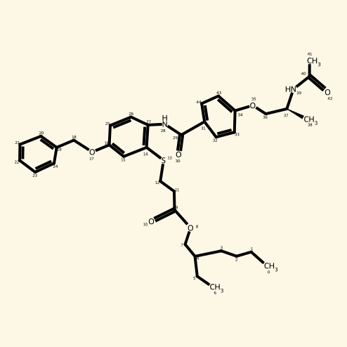 CCCCC(CC)COC(=O)CCSc1cc(OCc2ccccc2)ccc1NC(=O)c1ccc(OC[C@H](C)NC(C)=O)cc1